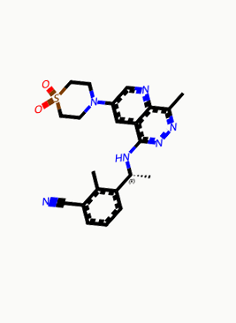 Cc1c(C#N)cccc1[C@@H](C)Nc1nnc(C)c2ncc(N3CCS(=O)(=O)CC3)cc12